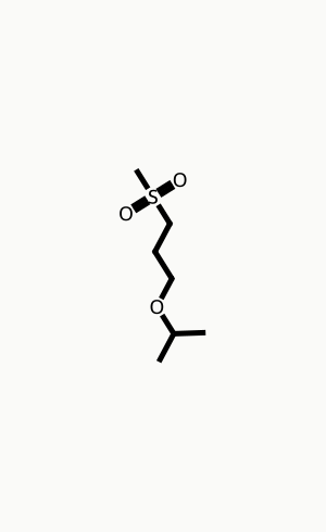 CC(C)OCCCS(C)(=O)=O